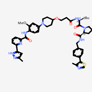 COc1cc(N2CCC(OCCC(=O)N[C@H](C(=O)N3CCC[C@H]3C(=O)NCc3ccc(-c4scnc4C)cc3)C(C)(C)C)CC2)ccc1NC(=O)c1cccc(-c2cc(C)n[nH]2)n1